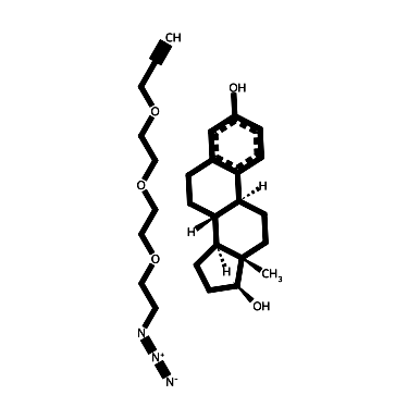 C#CCOCCOCCOCCN=[N+]=[N-].C[C@]12CC[C@@H]3c4ccc(O)cc4CC[C@H]3[C@@H]1CC[C@@H]2O